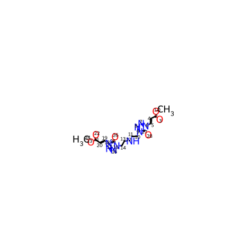 COC(=O)/C=C/n1nnn(CCNCCn2nnn(/C=C/C(=O)OC)c2=O)c1=O